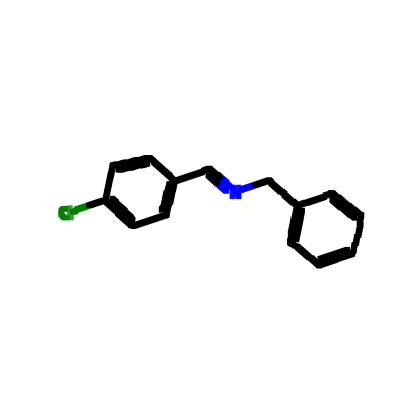 Clc1ccc(C=NCc2ccccc2)cc1